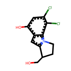 OCC1CCn2c1cc1c(O)cc(Cl)c(Cl)c12